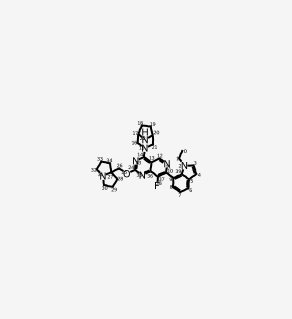 CCn1ccc2cccc(-c3ncc4c(N5CC6CCC(C5)N6)nc(OCC56CCCN5CCC6)nc4c3F)c21